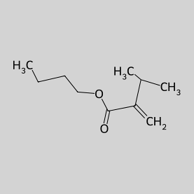 C=C(C(=O)OCCCC)C(C)C